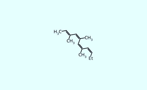 C/C=C(C)/C=C(C)\C=C(C)/C=C\CC